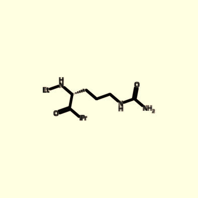 CCN[C@H](CCCNC(N)=O)C(=O)C(C)C